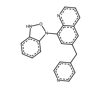 c1ccc2c(c1)NON2c1cc(Cc2ccncc2)cc2cccnc12